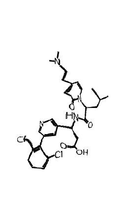 CC(C)C[C@@H](C(=O)N[C@@H](CC(=O)O)c1cncc(-c2c(Cl)cccc2Cl)c1)n1ccc(CCN(C)C)cc1=O